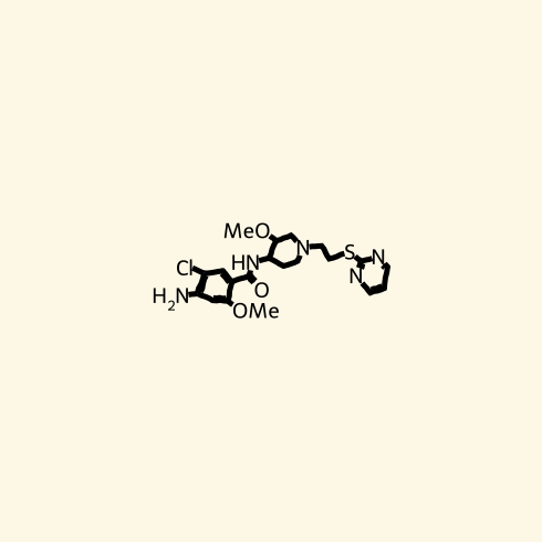 COc1cc(N)c(Cl)cc1C(=O)NC1CCN(CCSc2ncccn2)CC1OC